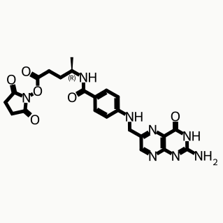 C[C@H](CCC(=O)ON1C(=O)CCC1=O)NC(=O)c1ccc(NCc2cnc3nc(N)[nH]c(=O)c3n2)cc1